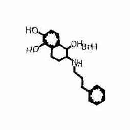 Br.Oc1ccc2c(c1O)CCC(NCCCc1ccccc1)C2O